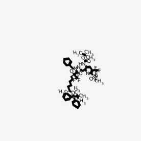 C[C@H](CCCCC[C@@](OCc1ccccc1)(c1nnc(-c2nc(S(C)(=O)=O)c(C(F)(F)F)cc2NC(=O)OC(C)(C)C)o1)C(F)(F)F)O[Si](c1ccccc1)(c1ccccc1)C(C)(C)C